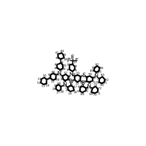 FC(F)(F)c1ccc(N2c3cc4c(cc3B3c5ccccc5N(c5ccccc5)c5cc(N(c6ccc(-c7ccccc7)cc6)c6ccc(-c7ccccc7)cc6)cc2c53)B2c3ccccc3N(c3ccccc3)c3cc(N(c5ccccc5)c5ccccc5)cc(c32)S4)cc1